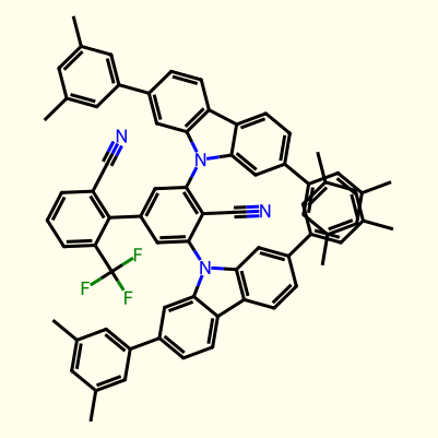 Cc1cc(C)cc(-c2ccc3c4ccc(-c5cc(C)cc(C)c5)cc4n(-c4cc(-c5c(C#N)cccc5C(F)(F)F)cc(-n5c6cc(-c7cc(C)cc(C)c7)ccc6c6ccc(-c7cc(C)cc(C)c7)cc65)c4C#N)c3c2)c1